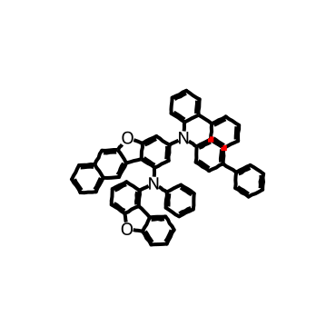 c1ccc(-c2ccc(N(c3cc(N(c4ccccc4)c4cccc5oc6ccccc6c45)c4c(c3)oc3cc5ccccc5cc34)c3ccccc3-c3ccccc3)cc2)cc1